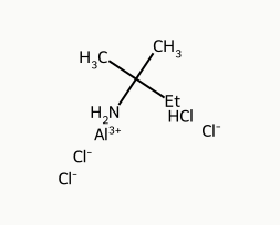 CCC(C)(C)N.Cl.[Al+3].[Cl-].[Cl-].[Cl-]